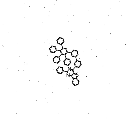 c1ccc(-c2nc(-c3cccc(-c4cccc(-c5cc(-c6ccccc6)c(-c6ccccc6)c(-c6ccccc6)c5-c5ccccc5)c4)c3)c3sc4ccccc4c3n2)cc1